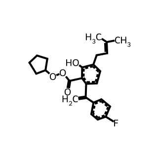 C=C(c1ccc(F)cc1)c1ccc(CC=C(C)C)c(O)c1C(=O)OOC1CCCC1